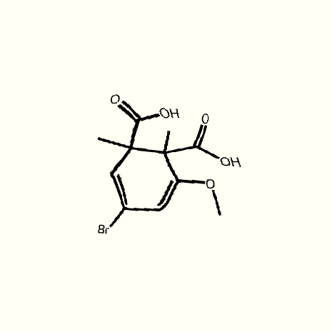 COC1=CC(Br)=CC(C)(C(=O)O)C1(C)C(=O)O